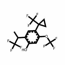 CC(c1cc(C2(C(F)(F)F)CC2)c(OC(F)(F)F)cc1O)C(F)(F)F